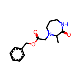 CC1C(=O)NCCCN1CC(=O)OCc1ccccc1